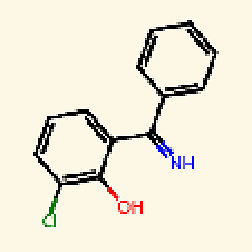 N=C(c1ccccc1)c1cccc(Cl)c1O